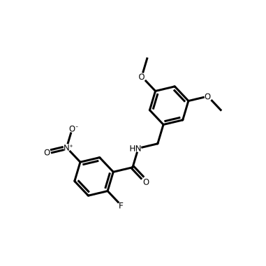 COc1cc(CNC(=O)c2cc([N+](=O)[O-])ccc2F)cc(OC)c1